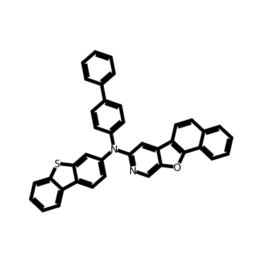 c1ccc(-c2ccc(N(c3ccc4c(c3)sc3ccccc34)c3cc4c(cn3)oc3c5ccccc5ccc43)cc2)cc1